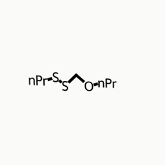 CCCOCSSCCC